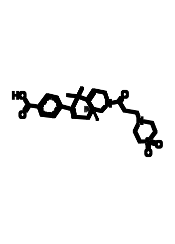 CC1(C)C(c2ccc(C(=O)O)cc2)=CC[C@]2(C)CN(C(=O)CCN3CCS(=O)(=O)CC3)CC=C12